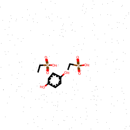 CCS(=O)(=O)O.CCS(=O)(=O)O.Oc1ccc(O)cc1